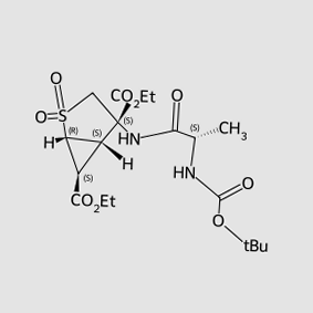 CCOC(=O)[C@@H]1[C@@H]2[C@H]1S(=O)(=O)C[C@@]2(NC(=O)[C@H](C)NC(=O)OC(C)(C)C)C(=O)OCC